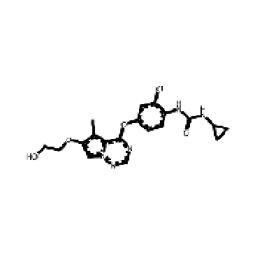 Cc1c(OCCO)cn2ncnc(Oc3ccc(NC(=O)NC4CC4)c(Cl)c3)c12